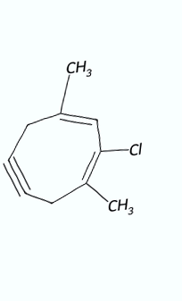 C/C1=C/C(Cl)=C(/C)CC#CC1